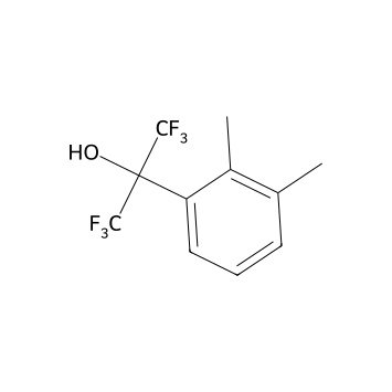 Cc1cccc(C(O)(C(F)(F)F)C(F)(F)F)c1C